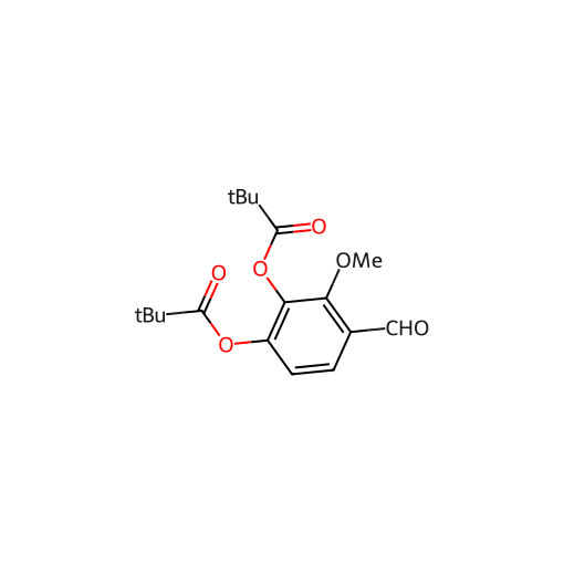 COc1c(C=O)ccc(OC(=O)C(C)(C)C)c1OC(=O)C(C)(C)C